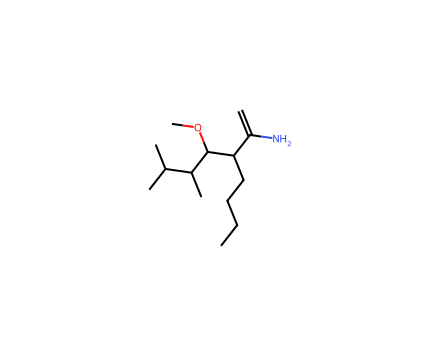 C=C(N)C(CCCC)C(OC)C(C)C(C)C